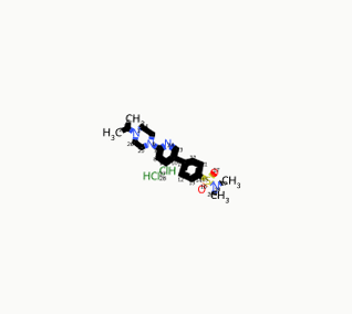 CC(C)N1CCN(c2ccc(-c3ccc(S(=O)(=O)N(C)C)cc3)cn2)CC1.Cl.Cl